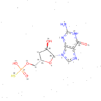 Nc1nc2c(ncn2[C@@H]2O[C@H](COP(=O)(O)S)C[C@H]2O)c(=O)[nH]1